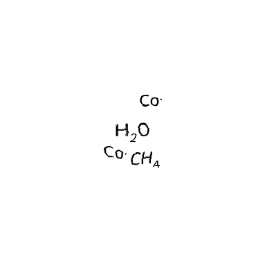 C.O.[Co].[Co]